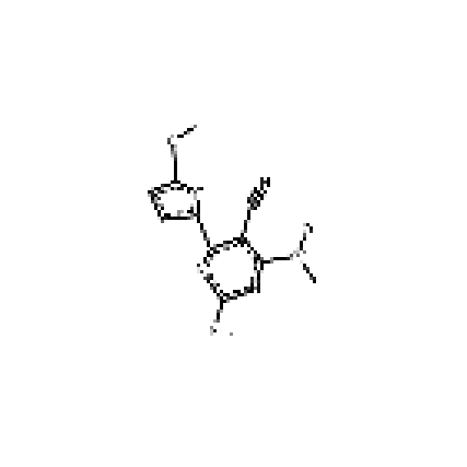 COc1ccc(-c2nc(N)nc([S+](C)[O-])c2C#N)o1